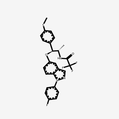 CSc1ccc([C@H](Oc2ccc3c(cnn3-c3ccc(F)cc3)c2)[C@H](C)NC(=O)C(F)(F)F)cc1